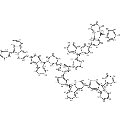 c1ccc(-p2c3ccccc3c3cc(-c4ccc5c(c4)c4ccccc4n5-c4cccc(-c5nc(-c6cccc(-n7c8ccccc8c8cc(-c9ccc%10c(c9)c9ccccc9p%10-c9ccccc9)ccc87)c6)nc(-c6cccc(-n7c8ccccc8c8cc(-c9ccc%10c(c9)c9ccccc9p%10-c9ccccc9)ccc87)c6)n5)c4)ccc32)cc1